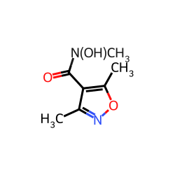 Cc1noc(C)c1C(=O)N(C)O